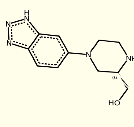 OC[C@@H]1CN(c2ccc3nn[nH]c3c2)CCN1